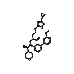 C=CC(CCCc1nc(C2CC2)no1)CN(C(=O)C1CCOCC1)c1cccc(-c2ccnc(OC)c2)c1